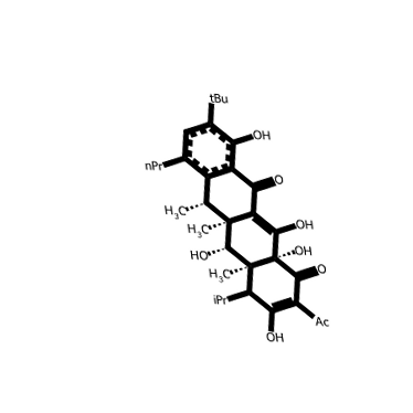 CCCc1cc(C(C)(C)C)c(O)c2c1[C@@H](C)[C@@]1(C)C(=C(O)[C@@]3(O)C(=O)C(C(C)=O)=C(O)C(C(C)C)[C@@]3(C)[C@@H]1O)C2=O